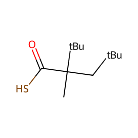 CC(C)(C)CC(C)(C(=O)S)C(C)(C)C